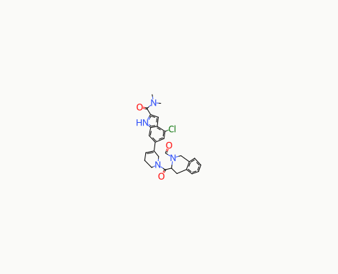 CN(C)C(=O)c1cc2c(Cl)cc(C3=CCCN(C(=O)C4Cc5ccccc5CN4C=O)C3)cc2[nH]1